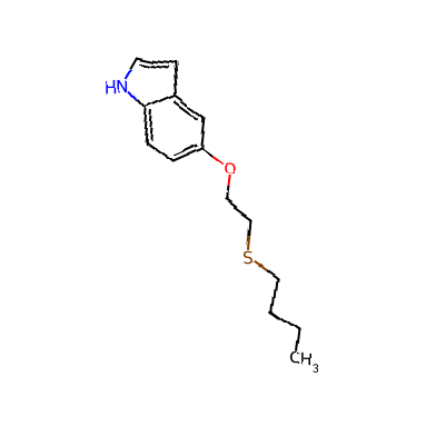 CCCCSCCOc1ccc2[nH]ccc2c1